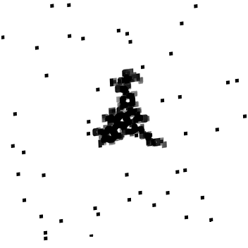 COCOC[C@H]1CSc2c(-c3cc(Cl)c(F)cc3F)c(C(F)(F)F)cc3c(N4CCN(C(=O)OC(C)(C)C)C[C@@H]4C)nc(=O)n1c23